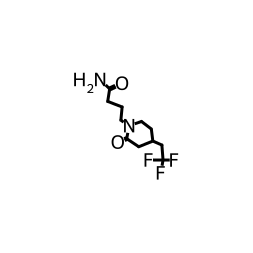 NC(=O)CCCN1CCC(CC(F)(F)F)CC1=O